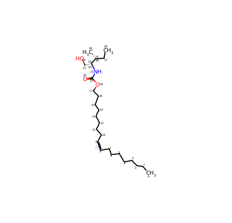 CCCCCCCC/C=C\CCCCCCCCOC(=O)N[C@H](CO)[C@H](C)CC